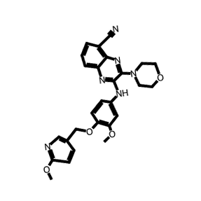 COc1ccc(COc2ccc(Nc3nc4cccc(C#N)c4nc3N3CCOCC3)cc2OC)cn1